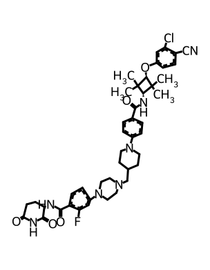 CC1(C)[C@H](NC(=O)c2ccc(N3CCC(CN4CCN(c5ccc(C(=O)NC6CCC(=O)NC6=O)c(F)c5)CC4)CC3)cc2)C(C)(C)[C@H]1Oc1ccc(C#N)c(Cl)c1